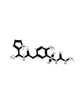 CNC(=O)NS(=O)(=O)c1cc(CC(=O)NC(C)c2ccc[nH]2)ccc1C